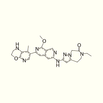 CCN1CCc2cc(Nc3cc4cc(-c5cnc6c(c5C)NCCO6)nc(OC)c4cn3)nn2CC1=O